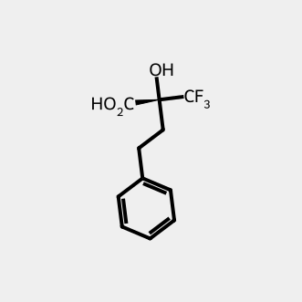 O=C(O)[C@](O)(CCc1ccccc1)C(F)(F)F